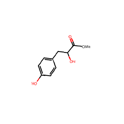 COC(=O)C(O)Cc1ccc(O)cc1